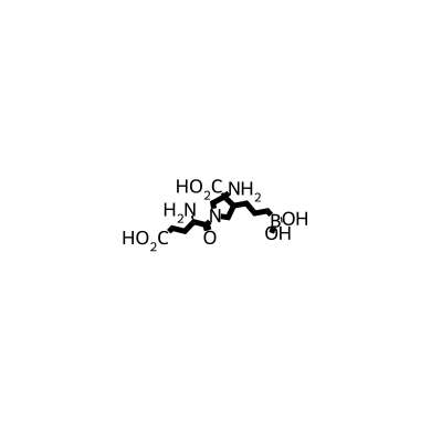 N[C@@H](CCC(=O)O)C(=O)N1CC(CCCB(O)O)[C@](N)(C(=O)O)C1